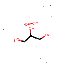 OCC(O)CO.[O]O